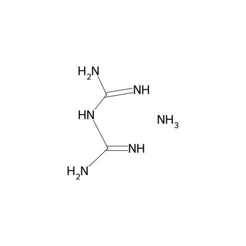 N.N=C(N)NC(=N)N